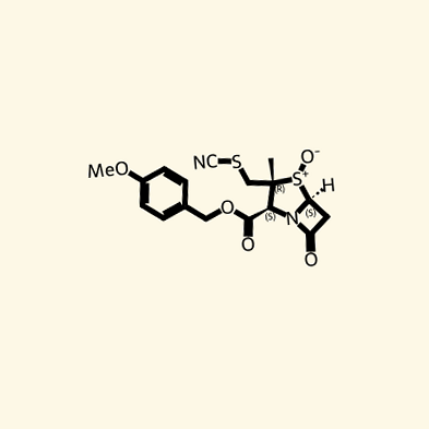 COc1ccc(COC(=O)[C@@H]2N3C(=O)C[C@@H]3[S+]([O-])[C@@]2(C)CSC#N)cc1